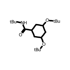 CC(C)(C)NC(=O)C1CC(OC(C)(C)C)CC(OC(C)(C)C)C1